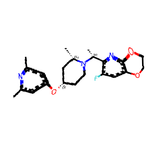 Cc1cc(O[C@H]2CCN([C@H](C)c3nc4c(cc3F)OCCO4)[C@@H](C)C2)cc(C)n1